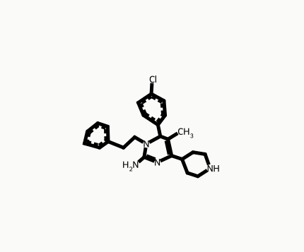 CC1=C(C2CCNCC2)N=C(N)N(CCc2ccccc2)C1c1ccc(Cl)cc1